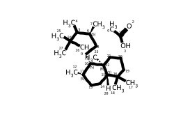 CC(=O)O.CC([C@@H](C)CC[C@H]1[C@@H](C)CC[C@H]2C(C)(C)CCC[C@]12C)C(C)(C)C